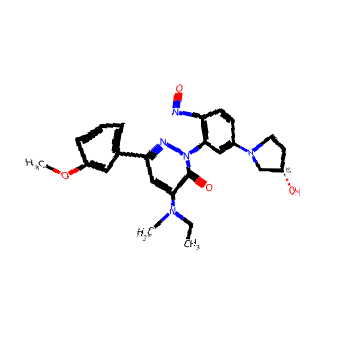 CCN(C)c1cc(-c2cccc(OC)c2)nn(-c2cc(N3CC[C@H](O)C3)ccc2N=O)c1=O